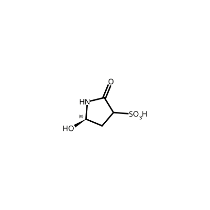 O=C1N[C@H](O)CC1S(=O)(=O)O